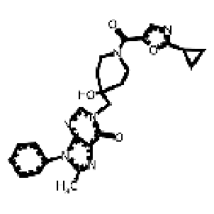 Cc1nc2c(=O)n(CC3(O)CCN(C(=O)c4cnc(C5CC5)o4)CC3)cnc2n1-c1ccccc1